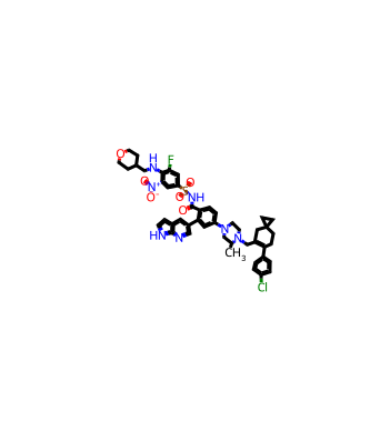 CC1CN(c2ccc(C(=O)NS(=O)(=O)c3cc(F)c(NCC4CCOCC4)c([N+](=O)[O-])c3)c(-c3cnc4[nH]ccc4c3)c2)CCN1CC1=C(c2ccc(Cl)cc2)CCC2(CC2)C1